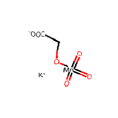 O=C([O-])C[O][Mn](=[O])(=[O])=[O].[K+]